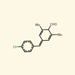 CC(C)(C)C1=CC(=Cc2ccc(Cl)cc2)C=C(C(C)(C)C)C1C=O